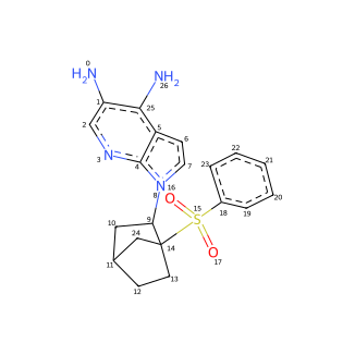 Nc1cnc2c(ccn2C2CC3CCC2(S(=O)(=O)c2ccccc2)C3)c1N